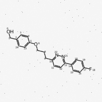 OCc1ccc(OCCCc2ccc(-c3ccc(F)cc3)nn2)cc1